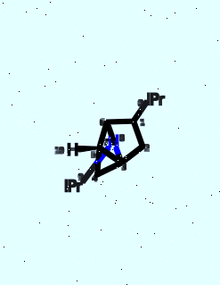 CC(C)C1CC23C[C@@H]2C1CN3C(C)C